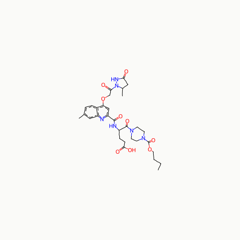 CCCCOC(=O)N1CCN(C(=O)C(CCC(=O)O)NC(=O)c2cc(OCC(=O)N3NC(=O)CC3C)c3ccc(C)cc3n2)CC1